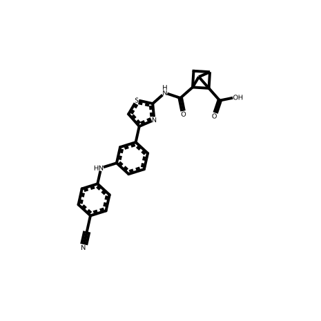 N#Cc1ccc(Nc2cccc(-c3csc(NC(=O)C45CC(C4)C5C(=O)O)n3)c2)cc1